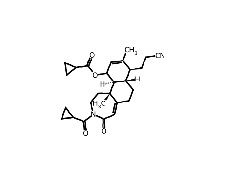 CC1=CC(OC(=O)C2CC2)[C@H]2[C@@H](CCC3=CC(=O)N(C(=O)C4CC4)CC[C@@]32C)[C@@H]1CCC#N